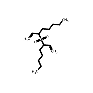 C=CC(CCCCC)S(=O)(=O)C(C=C)CCCCC